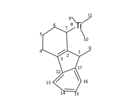 CC1C2=C(CCC[CH]2[Ti]([CH3])([CH3])[CH3])c2ccccc21